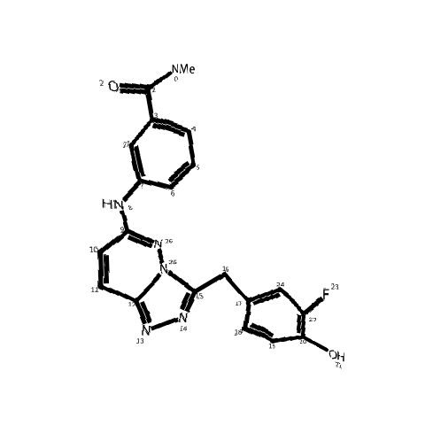 CNC(=O)c1cccc(Nc2ccc3nnc(Cc4ccc(O)c(F)c4)n3n2)c1